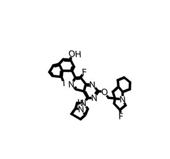 Oc1cc(-c2ncc3c(N4CC5CCC(C4)N5)nc(OCC45CC(F)CN4C4CCCCC4C5)nc3c2F)c2c(I)cccc2c1